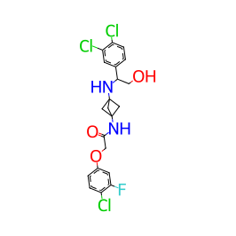 O=C(COc1ccc(Cl)c(F)c1)NC12CC(NC(CO)c3ccc(Cl)c(Cl)c3)(C1)C2